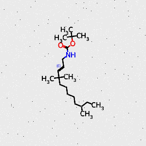 CCC(C)CCCCCC(C)(C)/C=C/CNC(=O)OC(C)(C)C